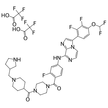 O=C(O)C(F)(F)F.O=C(O)C(F)(F)F.O=C(c1ccc(Nc2nccn3c(-c4ccc(OC(F)F)c(F)c4F)cnc23)cc1F)N1CCN(C(=O)C2CCN(CC3CCNC3)CC2)CC1